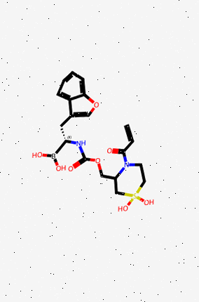 C=CC(=O)N1CCS(O)(O)CC1COC(=O)N[C@@H](Cc1coc2ccccc12)B(O)O